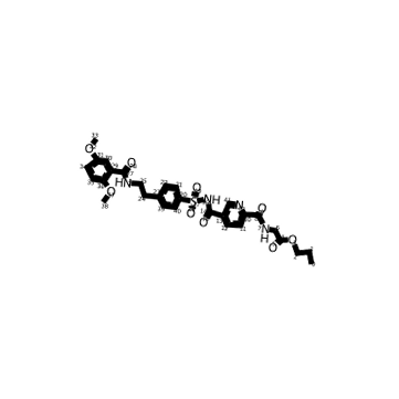 CCCOC(=O)CNC(=O)c1ccc(C(=O)NS(=O)(=O)c2ccc(CCNC(=O)c3cc(OC)ccc3OC)cc2)cn1